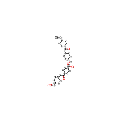 O=CC1CCC(C(=O)CC2CCC(COC(=O)C3CCC(C(=O)CC4CCC(CO)CC4)CC3)CC2)CC1